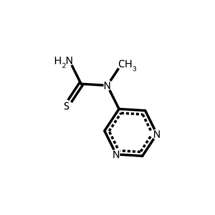 CN(C(N)=S)c1cncnc1